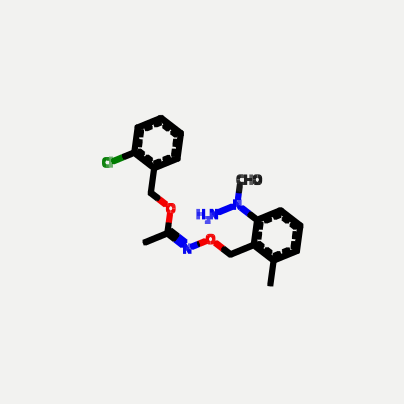 CC(=NOCc1c(C)cccc1N(N)C=O)OCc1ccccc1Cl